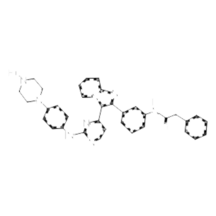 CCN1CCN(c2ccc(Nc3nccc(-c4c(-c5cccc(NC(=O)Cc6ccccc6)c5)nc5ccccn45)n3)cc2)CC1